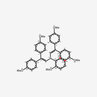 COc1ccc(C(=CN(C=C(c2ccc(OC)cc2)c2ccc(OC)cc2)c2ccccc2OC)c2ccc(OC)cc2)cc1